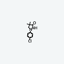 CC1(C)CN(c2ccc(Cl)cc2)NC1=O